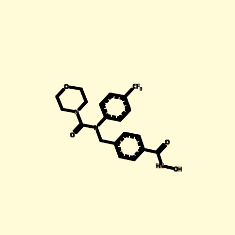 O=C(NO)c1ccc(CN(C(=O)N2CCOCC2)c2ccc(C(F)(F)F)cc2)cc1